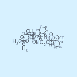 CCCCCCCCC1(NC(=O)NC2CCCCC2C(CC(=O)O)NC(=O)C2OC(C)(C)OCC2(C)C)CCCCC1